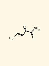 CC=CC(=O)C(N)=O